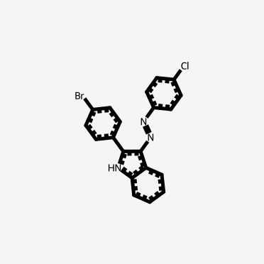 Clc1ccc(/N=N/c2c(-c3ccc(Br)cc3)[nH]c3ccccc23)cc1